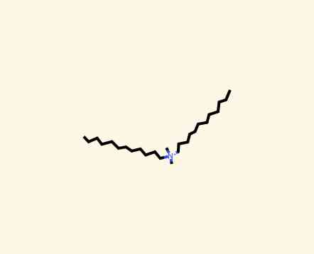 CCCCCCCCCCCC[N+](C)(C)CCCCCCCCCCCC